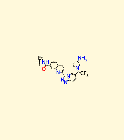 CCC(C)(C)NC(=O)c1ccc2ccc(-c3nnc4ccc([C@@H](N5CCC(N)C5)C(F)(F)F)cn34)nc2c1